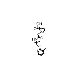 Cc1cccnc1OCC(C)(C)NC(=O)C[C@@H]1CCCN1C(=O)O